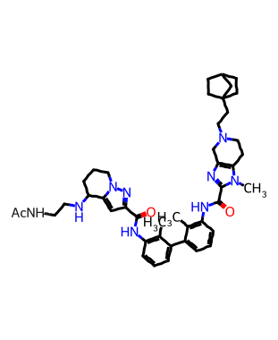 CC(=O)NCCNC1CCCn2nc(C(=O)Nc3cccc(-c4cccc(NC(=O)c5nc6c(n5C)CCN(CCC57CCC(CC5)C7)C6)c4C)c3C)cc21